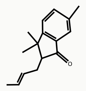 CC=CCC1C(=O)c2cc(C)ccc2C1(C)C